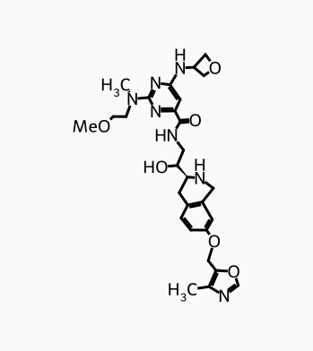 COCCN(C)c1nc(NC2COC2)cc(C(=O)NCC(O)[C@@H]2Cc3ccc(OCc4ocnc4C)cc3CN2)n1